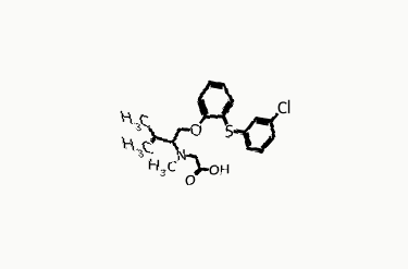 CC(C)C(COc1ccccc1Sc1cccc(Cl)c1)N(C)CC(=O)O